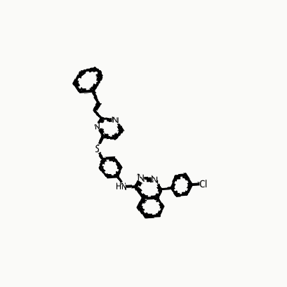 Clc1ccc(-c2nnc(Nc3ccc(Sc4ccnc(C=Cc5ccccc5)n4)cc3)c3ccccc23)cc1